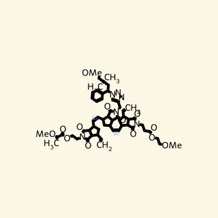 C=CC1CC(/C=C\C2CC(/C=C\C3CC(C=C)C4C(=O)N(CCC(=O)OCCOC)C(=O)C34)C3C(=O)N(Cc4cn(C(CC(C)(C)COC)c5ccccc5)nn4)C(=O)C23)C2C(=O)N(CCOC(=O)C(C)OC)C(=O)C12